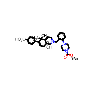 CC(C)(C)OC(=O)N1CCN(c2ccccc2CN2CC=C3C(C)(C)C(c4ccc(C(=O)O)cc4)=CC[C@]3(C)C2)CC1